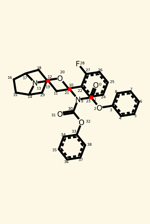 O=C(Oc1ccccc1)N(CCCN1C2CCC1CC(OCc1ccccc1F)C2)C(=O)Oc1ccccc1